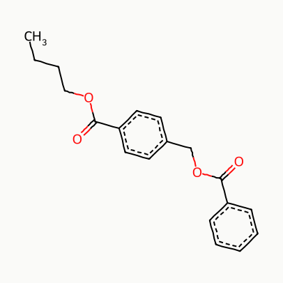 CCCCOC(=O)c1ccc(COC(=O)c2ccccc2)cc1